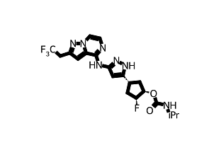 CC(C)NC(=O)O[C@H]1C[C@@H](c2cc(Nc3nccn4nc(CC(F)(F)F)cc34)n[nH]2)C[C@H]1F